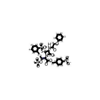 C/C(OS(C)(=O)=O)=C(/C(=O)OCc1ccc([N+](=O)[O-])cc1)N1C(=O)[C@@H](NC(=O)COc2ccccc2)[C@H]1SS(=O)(=O)c1ccccc1C